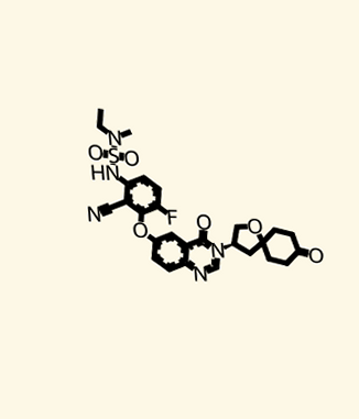 CCN(C)S(=O)(=O)Nc1ccc(F)c(Oc2ccc3ncn([C@H]4COC5(CCC(=O)CC5)C4)c(=O)c3c2)c1C#N